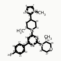 C[C@@H]1CC(c2nccn2C)CCN1c1cc(-c2ccc(F)cc2)nc(N2CCOC[C@H]2C)n1